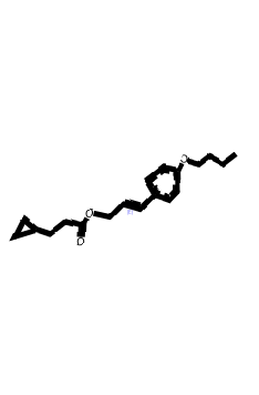 CCCCOc1ccc(/C=C/COC(=O)CCC2CC2)cc1